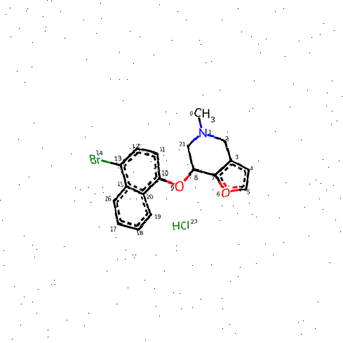 CN1Cc2ccoc2C(Oc2ccc(Br)c3ccccc23)C1.Cl